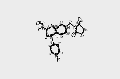 O=CNc1cc(-c2ccc(F)cc2)c2ccc(CN3C(=O)CCC3=O)cc2n1